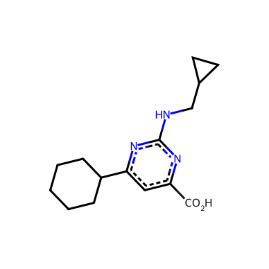 O=C(O)c1cc(C2CCCCC2)nc(NCC2CC2)n1